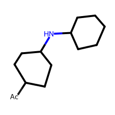 CC(=O)C1CCC(NC2CCCCC2)CC1